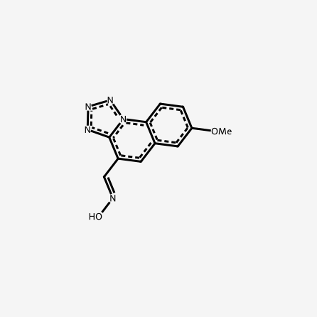 COc1ccc2c(c1)cc(C=NO)c1nnnn12